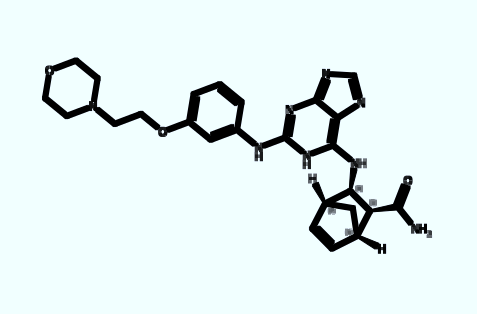 NC(=O)[C@@H]1[C@H](Nc2[nH]c(Nc3cccc(OCCN4CCOCC4)c3)nc3ncnc2-3)[C@H]2C=C[C@@H]1C2